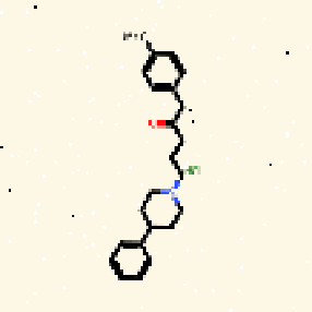 COc1ccc(CC(=O)CCCN2CCC(c3ccccc3)CC2)cc1.Cl